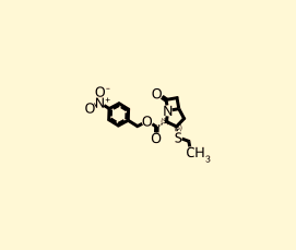 CCS[C@H]1CC2CC(=O)N2[C@H]1C(=O)OCc1ccc([N+](=O)[O-])cc1